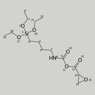 CCO[Si](CCCCNC(=O)OC(=O)C1CO1)(OCC)OCC